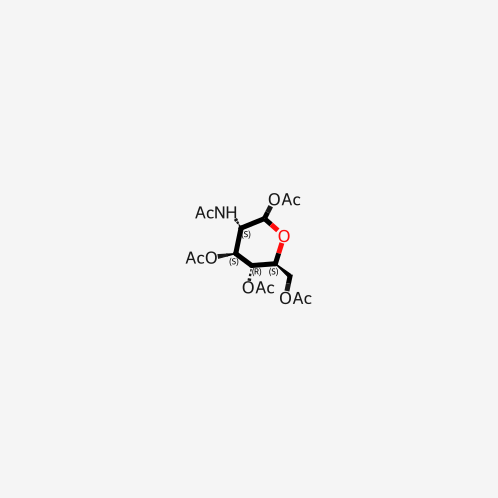 CC(=O)N[C@@H]1C(OC(C)=O)O[C@@H](COC(C)=O)[C@H](OC(C)=O)[C@H]1OC(C)=O